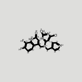 Cc1nc(Cl)cc(N(Cc2ccncc2)Cc2cc(=O)[nH]c3c(F)c(F)ccc23)n1